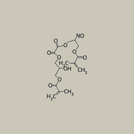 C=C(C)C(=O)OCC(O)COC(=O)C(=O)OCC(COC(=O)C(=C)C)N=O